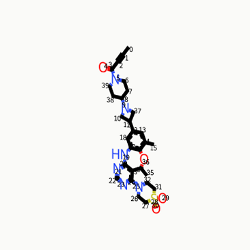 CC#CC(=O)N1CCC(N2CC(c3cc(C)c4c(c3)Nc3ncnc(N5CCS(=O)(=O)CC5)c3C(C)O4)C2)CC1